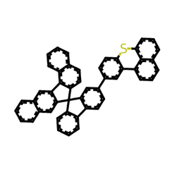 c1ccc2c(c1)-c1ccc(-c3ccc4c(c3)-c3cccc5cccc(c35)S4)cc1C21c2cc3ccccc3cc2-c2c1ccc1ccccc21